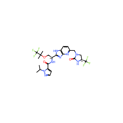 CC(C)n1nccc1C(=O)N[C@@H](COC(C)(C)C(F)(F)F)c1nc2nc(CN3C[C@@H](C(F)(F)F)NC3=O)ccc2[nH]1